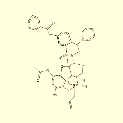 C=CCN1CC[C@]23c4c5c(O)cc(OC(C)=O)c4O[C@H]2[C@H](N(CC(c2ccccc2)c2ccccc2)C(=O)CCCCC(=O)c2ccccc2)CC[C@H]3[C@H]1C5